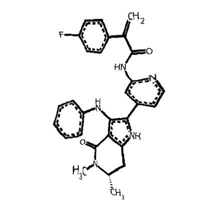 C=C(C(=O)Nc1cc(-c2[nH]c3c(c2Nc2ccccc2)C(=O)N(C)[C@@H](C)C3)ccn1)c1ccc(F)cc1